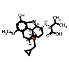 COc1cc(O)c2c3c1C[C@@H]1[C@@H]4CC[C@@H](N[C@@H](C(=O)O)C(C)C)[C@H](O2)[C@]34CCN1CC1CC1